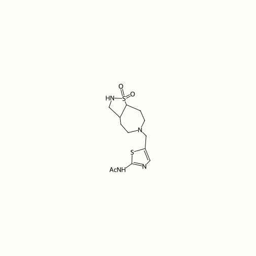 CC(=O)Nc1ncc(CN2CCC3CNS(=O)(=O)C3CC2)s1